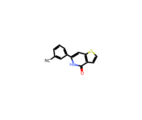 N#Cc1cccc(-c2cc3sccc3c(=O)[nH]2)c1